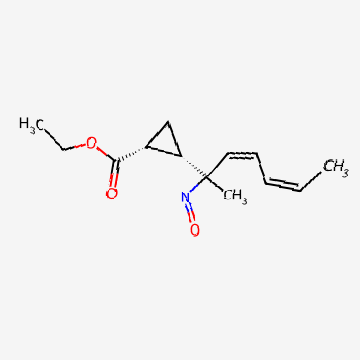 C/C=C\C=C/C(C)(N=O)[C@H]1C[C@H]1C(=O)OCC